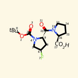 CC(C)(C)OC(=O)N1C[C@H](F)C[C@H]1C(=O)N1CCC[C@H]1C(=O)O